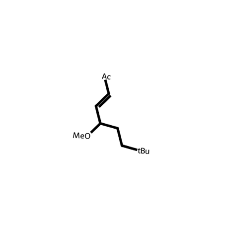 COC(/C=C/C(C)=O)CCC(C)(C)C